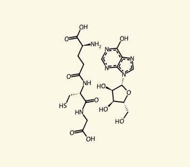 N[C@@H](CCC(=O)N[C@@H](CS)C(=O)NCC(=O)O)C(=O)O.OC[C@H]1O[C@@H](n2cnc3c(O)ncnc32)[C@H](O)[C@@H]1O